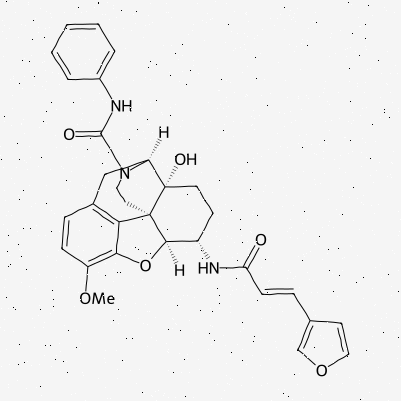 COc1ccc2c3c1O[C@@H]1[C@@H](NC(=O)/C=C/c4ccoc4)CC[C@]4(O)[C@H](C2)N(C(=O)Nc2ccccc2)CC[C@@]314